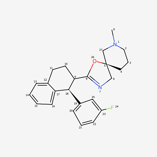 CN1CCC[C@]2(CN=C(C3CCc4ccccc4[C@@H]3c3cccc(F)c3)O2)C1